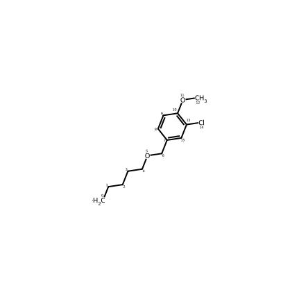 [CH2]CCCCOCc1ccc(OC)c(Cl)c1